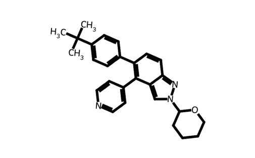 CC(C)(C)c1ccc(-c2ccc3nn(C4CCCCO4)cc3c2-c2ccncc2)cc1